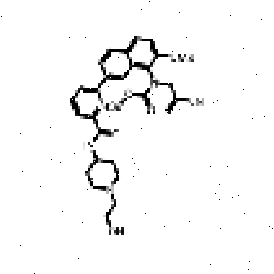 C=C(C#N)CN(C(=O)OC(C)(C)C)c1c(OC)ccc2ccc(-c3cccc(C(=O)NC4CCN(CCO)CC4)n3)cc12